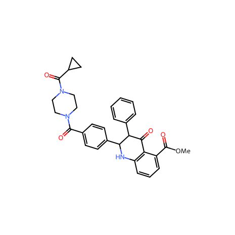 COC(=O)c1cccc2c1C(=O)C(c1ccccc1)C(c1ccc(C(=O)N3CCN(C(=O)C4CC4)CC3)cc1)N2